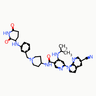 CC(C)Nc1cc(-n2ccc3cc(C#N)cnc32)ncc1C(=O)NC1CCN(Cc2cccc(NC3CCC(=O)NC3=O)c2)CC1